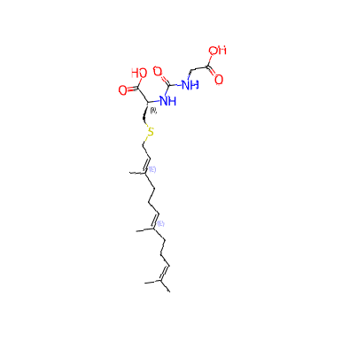 CC(C)=CCC/C(C)=C/CC/C(C)=C/CSC[C@H](NC(=O)NCC(=O)O)C(=O)O